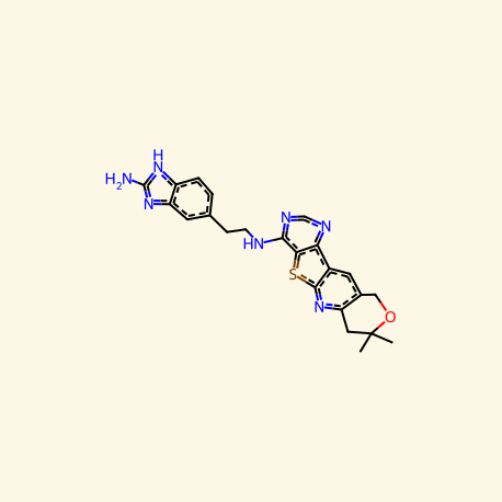 CC1(C)Cc2nc3sc4c(NCCc5ccc6[nH]c(N)nc6c5)ncnc4c3cc2CO1